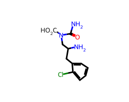 NC(=O)N(CC(N)Cc1ccccc1Cl)C(=O)O